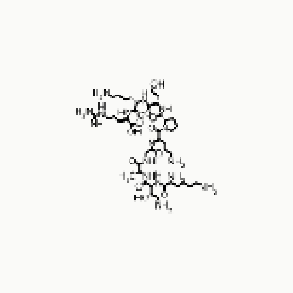 C[C@H](NC(=O)[C@@H](NC(=O)[C@@H](N)CCCCN)[C@@H](O)CN)C(=O)NCC(=O)/N=C(\CCCN)C(=O)N1CCC[C@H]1C(=O)N[C@@H](CCO)C(=O)N[C@@H](CCCCN)C(=O)N/C(=C\CCNC(=N)N)C(=O)O